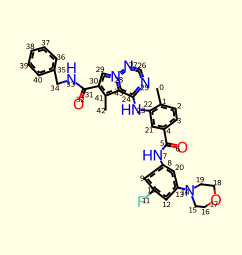 Cc1ccc(C(=O)Nc2cc(F)cc(N3CCOCC3)c2)cc1Nc1ncnn2cc(C(=O)NCc3ccccc3)c(C)c12